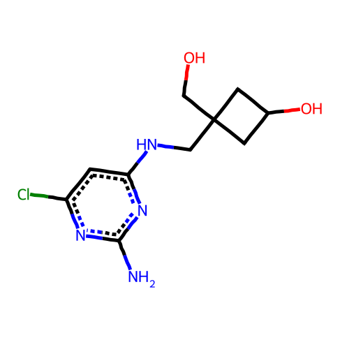 Nc1nc(Cl)cc(NCC2(CO)CC(O)C2)n1